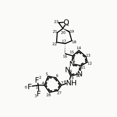 FC(F)(F)c1ccc(Nc2nc3cccc(C[C@H]4CC[C@@]5(CC4)CO5)n3n2)cc1